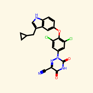 N#Cc1nn(-c2cc(Cl)c(Oc3ccc4[nH]cc(CC5CC5)c4c3)c(Cl)c2)c(=O)[nH]c1=O